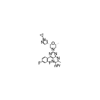 CCCc1nc2c(-c3ccc(F)cc3F)nc(N3C[C@@H](C)O[C@@H](c4cnn(C5CC5)c4)C3)nc2nc1C